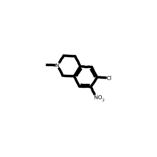 CN1CCc2cc(Cl)c([N+](=O)[O-])cc2C1